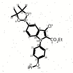 CCOC(=O)c1c(Cl)c2cc(B3OC(C)(C)C(C)(C)O3)ccc2n1-c1ccc(OC(C)C)cc1